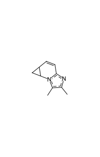 Cc1nc2n(c1C)C1CC1C=C2